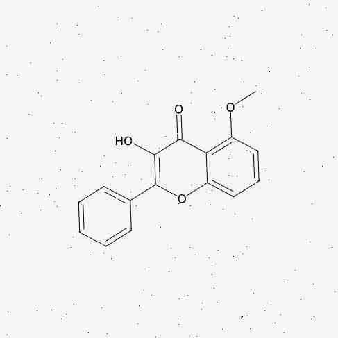 COc1cccc2oc(-c3ccccc3)c(O)c(=O)c12